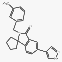 COc1cccc(CN2C(=O)c3cc(-c4cn[nH]c4)ccc3C23CCCC3)c1